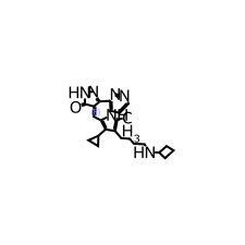 Cc1[nH]c(/C=C2/C(=O)NN=C2c2cccnn2)c(C2CC2)c1CCCCNC1CCC1